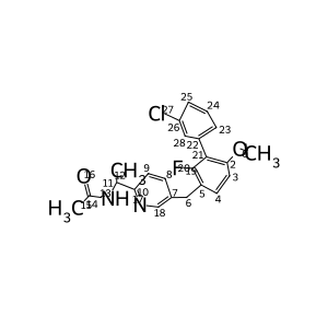 COc1ccc(Cc2ccc(C(C)NC(C)=O)nc2)c(F)c1-c1cccc(Cl)c1